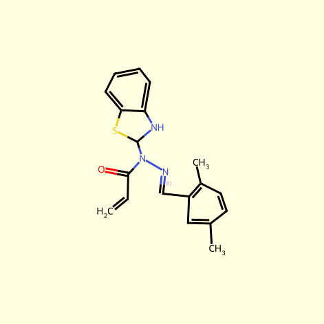 C=CC(=O)N(/N=C/c1cc(C)ccc1C)C1Nc2ccccc2S1